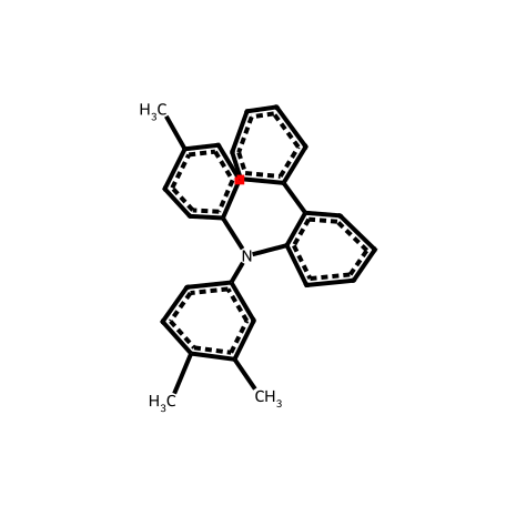 Cc1ccc(N(c2ccc(C)c(C)c2)c2ccccc2-c2ccccc2)cc1